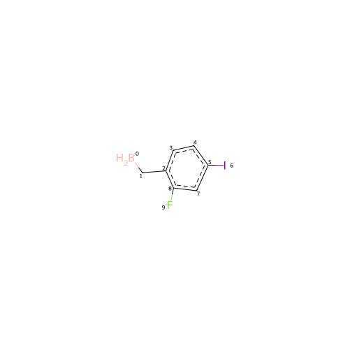 BCc1ccc(I)cc1F